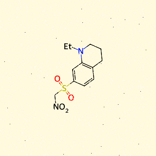 CCN1CCCc2ccc(S(=O)(=O)C[N+](=O)[O-])cc21